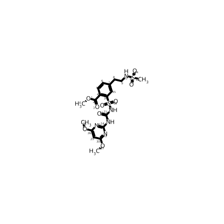 COC(=O)c1ccc(CCNS(C)(=O)=O)cc1S(=O)(=O)NC(=O)Nc1nc(OC)cc(OC)n1